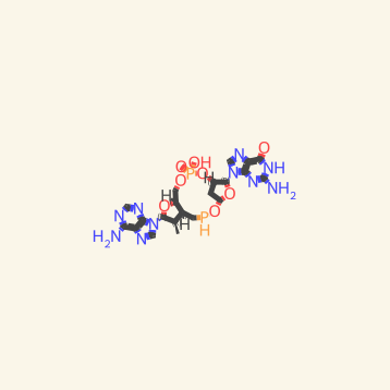 C[C@@H]1[C@@H]2CPOC3C[C@@H](OP(=O)(O)OC[C@H]2O[C@H]1n1cnc2c(N)ncnc21)[C@H](n1cnc2c(=O)[nH]c(N)nc21)O3